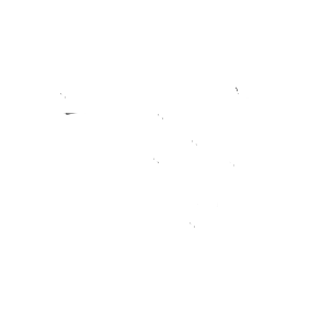 CN(C)C(=O)[C@H]1CC[C@H](Nc2ncc(C(N)=O)c(NC3CCC[C@H](O)C3)n2)CC1